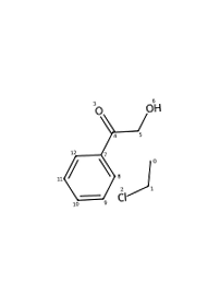 CCCl.O=C(CO)c1ccccc1